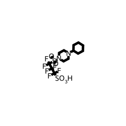 O=S(=O)(O)C(F)(F)C(F)(F)C(F)(F)S(=O)(=O)N1CCN(C2CCCCC2)CC1